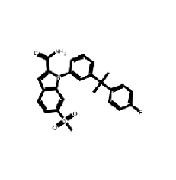 CC(C)(c1ccc(F)cc1)c1cccc(-n2c(C(N)=O)cc3ccc(S(C)(=O)=O)cc32)c1